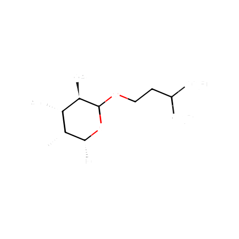 CCOC(=O)C(CCOC1O[C@H](CC)[C@H](C)[C@H](OC(C)=O)[C@H]1OC(C)=O)C(=O)OCC